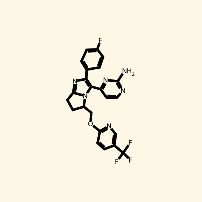 Nc1nccc(-c2c(-c3ccc(F)cc3)nc3n2C(COc2ccc(C(F)(F)F)cn2)CC3)n1